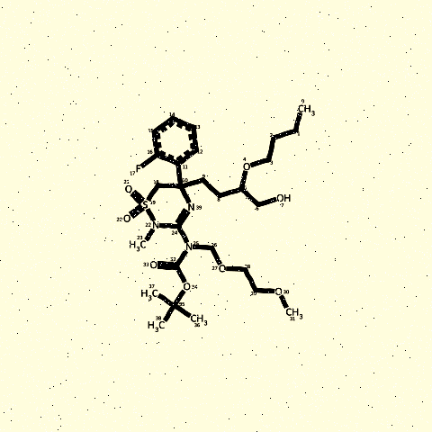 CCCCOC(CO)CCC1(c2ccccc2F)CS(=O)(=O)N(C)C(N(COCCOC)C(=O)OC(C)(C)C)=N1